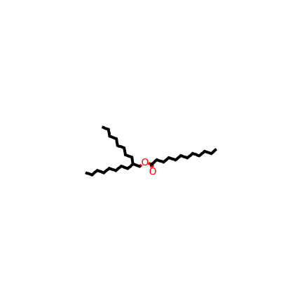 CCCCCCCCCCCC(=O)OCC(CCCCCCCC)CCCCCCCC